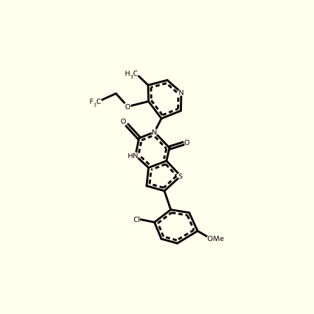 COc1ccc(Cl)c(-c2cc3[nH]c(=O)n(-c4cncc(C)c4OCC(F)(F)F)c(=O)c3s2)c1